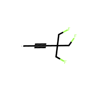 [CH2]C#CC(CF)(CF)CF